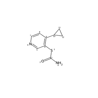 NC(=O)Sc1cnccc1C1CC1